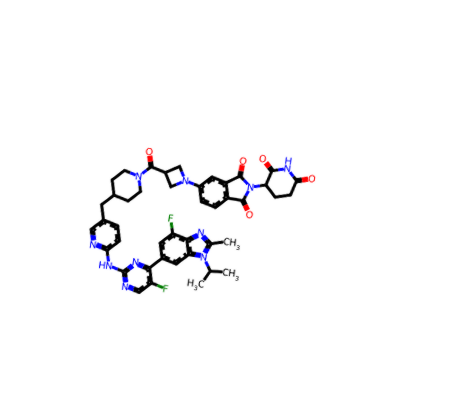 Cc1nc2c(F)cc(-c3nc(Nc4ccc(CC5CCN(C(=O)C6CN(c7ccc8c(c7)C(=O)N(C7CCC(=O)NC7=O)C8=O)C6)CC5)cn4)ncc3F)cc2n1C(C)C